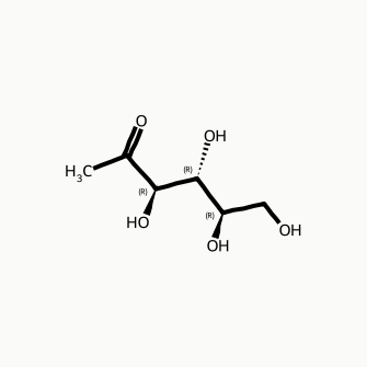 CC(=O)[C@H](O)[C@H](O)[C@H](O)CO